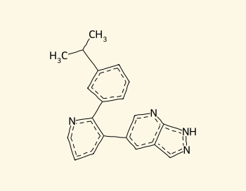 CC(C)c1cccc(-c2ncccc2-c2cnc3[nH]ncc3c2)c1